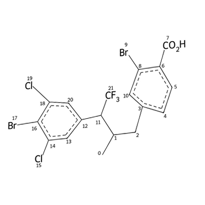 CC(Cc1ccc(C(=O)O)c(Br)c1)C(c1cc(Cl)c(Br)c(Cl)c1)C(F)(F)F